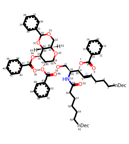 CCCCCCCCCCCCC/C=C/[C@@H](OC(=O)c1ccccc1)[C@H](CO[C@H]1O[C@@H]2COC(c3ccccc3)O[C@H]2[C@H](OC(=O)c2ccccc2)[C@H]1OC(=O)c1ccccc1)NC(=O)CCCCCCCCCCCCCCC